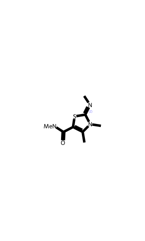 C/N=c1\sc(C(=O)NC)c(C)n1C